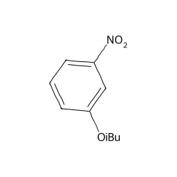 CC(C)COc1cccc([N+](=O)[O-])c1